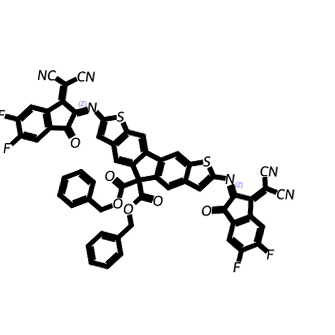 N#CC(C#N)=C1/C(=N/c2cc3cc4c(cc3s2)-c2cc3sc(/N=C5\C(=O)c6cc(F)c(F)cc6C5=C(C#N)C#N)cc3cc2C4(C(=O)OCc2ccccc2)C(=O)OCc2ccccc2)C(=O)c2cc(F)c(F)cc21